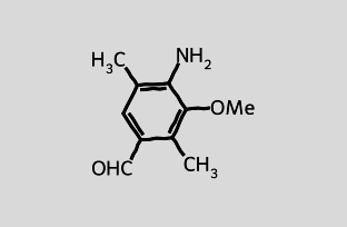 COc1c(C)c(C=O)cc(C)c1N